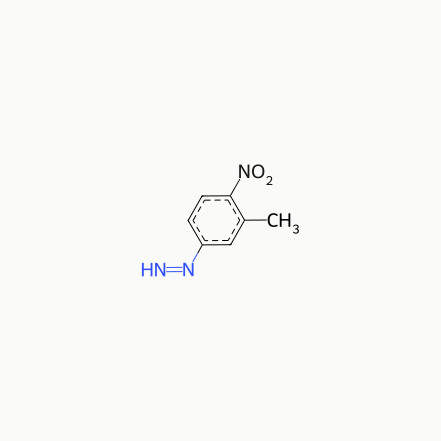 Cc1cc(N=N)ccc1[N+](=O)[O-]